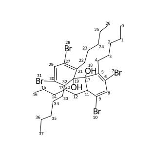 CCCCCC1=C(Br)C=C(Br)C(CCCCC)C1(O)C1(O)C(CCCCC)=C(Br)C=C(Br)C1CCCCC